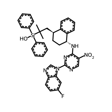 CC(C)(C[C@@H]1CC[C@@H](Nc2nc(-n3cnc4ccc(F)cc43)ncc2[N+](=O)[O-])c2ccccc21)[Si](O)(c1ccccc1)c1ccccc1